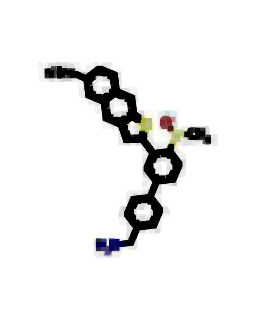 CCCCCCc1ccc2cc3sc(-c4cc(-c5ccc(CN)cc5)ccc4[S+](C)[O-])cc3cc2c1